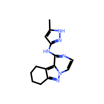 Cc1cc(Nc2nccn3nc4c(c23)CCCC4)n[nH]1